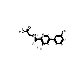 O=C(O)CNC(=O)c1ncc(-c2cccc(F)c2)cc1O